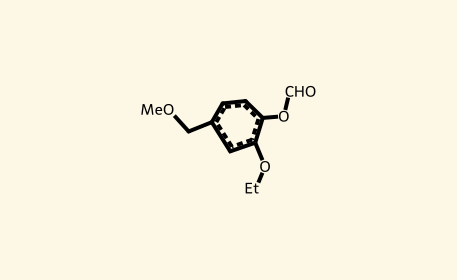 CCOc1cc(COC)ccc1OC=O